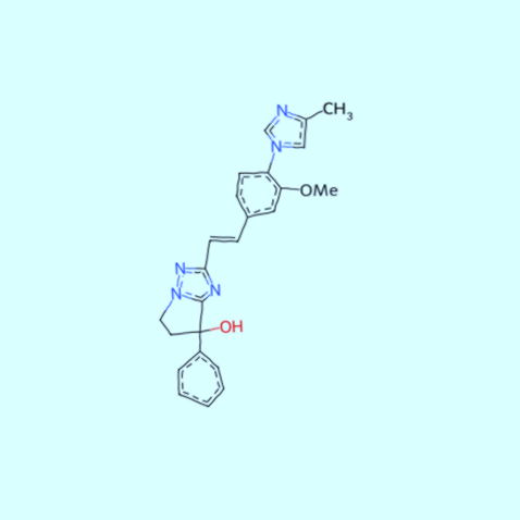 COc1cc(/C=C/c2nc3n(n2)CCC3(O)c2ccccc2)ccc1-n1cnc(C)c1